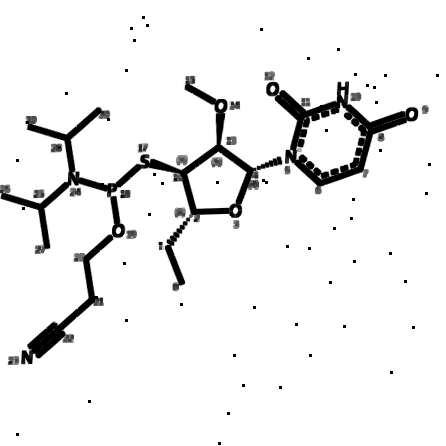 CC[C@H]1O[C@@H](n2ccc(=O)[nH]c2=O)[C@H](OC)[C@@H]1SP(OCCC#N)N(C(C)C)C(C)C